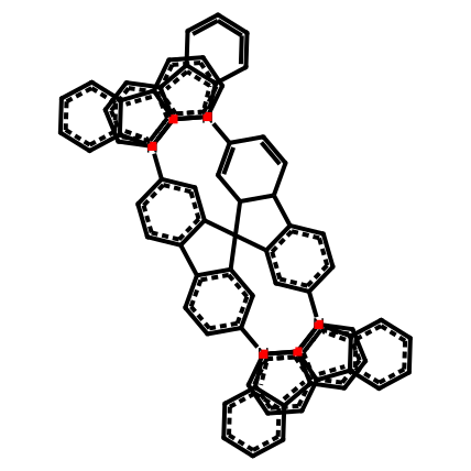 C1=C=Cc2c(c3ccccc3n2C2=CC3C(C=C2)c2ccc(-n4c5ccccc5c5ccccc54)cc2C32c3cc(-n4c5ccccc5c5ccccc54)ccc3-c3ccc(-n4c5ccccc5c5ccccc54)cc32)C=1